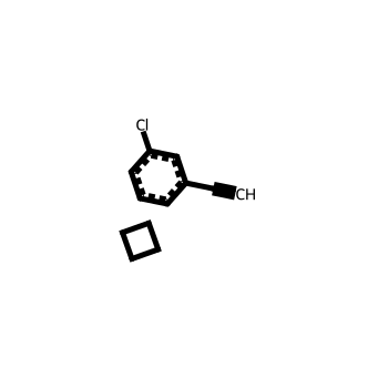 C#Cc1cccc(Cl)c1.C1CCC1